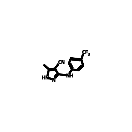 Cc1[nH]nc(Nc2ccc(C(F)(F)F)cc2)c1C#N